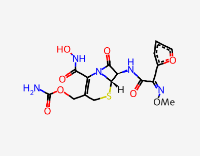 CO/N=C(\C(=O)N[C@@H]1C(=O)N2C(C(=O)NO)=C(COC(N)=O)CS[C@@H]12)c1ccco1